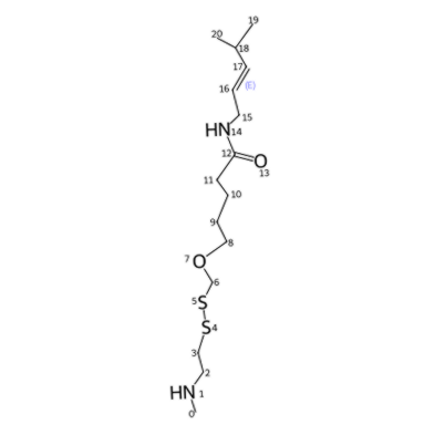 CNCCSSCOCCCCC(=O)NC/C=C/C(C)C